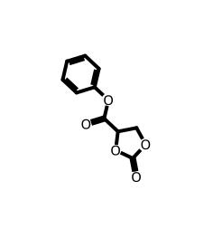 O=C1OCC(C(=O)Oc2ccccc2)O1